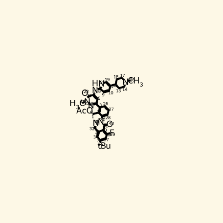 CC(=O)OCc1c(-c2cc(Nc3ccc(C4CCN(C)CC4)cn3)c(=O)n(C)n2)cccc1-n1ncc2cc(C(C)(C)C)cc(F)c2c1=O